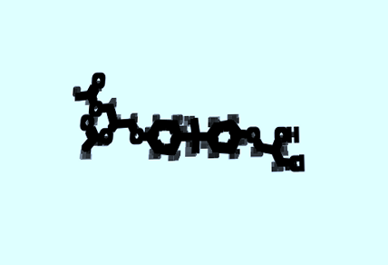 CC(=O)OCC(COc1ccc(C(C)(C)c2ccc(OCC(O)CCl)cc2)cc1)OC(C)=O